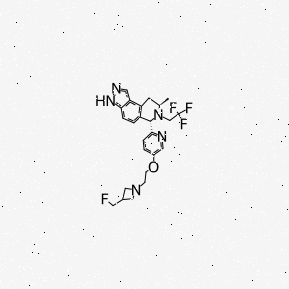 C[C@@H]1Cc2c(ccc3[nH]ncc23)[C@@H](c2ccc(OCCN3CC(CF)C3)cn2)N1CC(F)(F)F